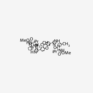 COC(=O)N[C@H](C(=O)N1CC(C)=C[C@H]1c1nc(-c2ccc3c(c2)Oc2ccc(-c4cnc([C@@H]5[C@@H]6CC[C@@H](C6)N5C(=O)[C@@H](NC(=O)OC)C(C)C)[nH]4)cc2C3(C)C)c[nH]1)C(C)C